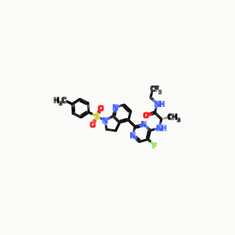 Cc1ccc(S(=O)(=O)N2CCc3c(-c4ncc(F)c(N[C@@H](C)C(=O)NCC(F)(F)F)n4)ccnc32)cc1